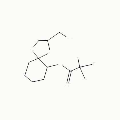 CC(C)(F)C(=O)OC1CCCCC12OCC(CO)O2